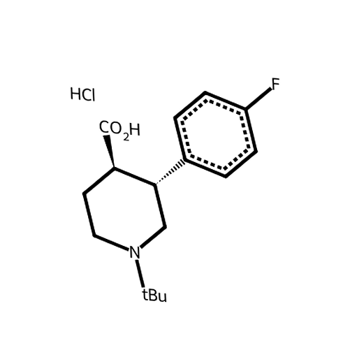 CC(C)(C)N1CC[C@@H](C(=O)O)[C@H](c2ccc(F)cc2)C1.Cl